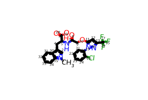 Cn1cc(CC(NC(=O)COc2cc(C(F)(F)F)nn2-c2ccccc2Cl)C(=O)O)c2ccccc21